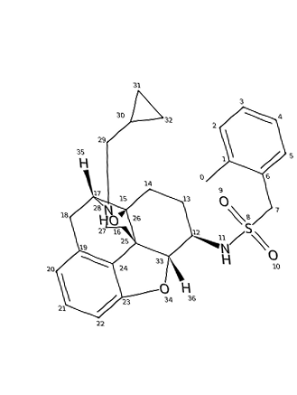 Cc1ccccc1CS(=O)(=O)N[C@@H]1CC[C@@]2(O)[C@H]3Cc4cccc5c4[C@@]2(CCN3CC2CC2)[C@H]1O5